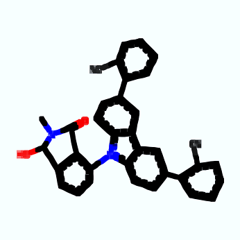 CN1C(=O)c2c(cccc2-n2c3ccc(-c4ccccc4C#N)cc3c3cc(-c4ccccc4C#N)ccc32)C1O